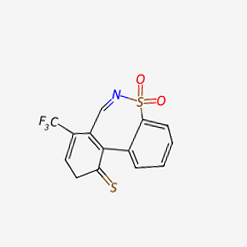 O=S1(=O)N=CC2=C(C(=S)CC=C2C(F)(F)F)c2ccccc21